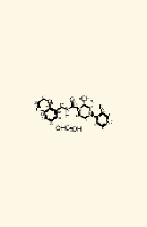 C[C@@H]1CN(c2ccncc2F)CCN1C(=O)NCc1cccc2c1OCCO2.O=CO